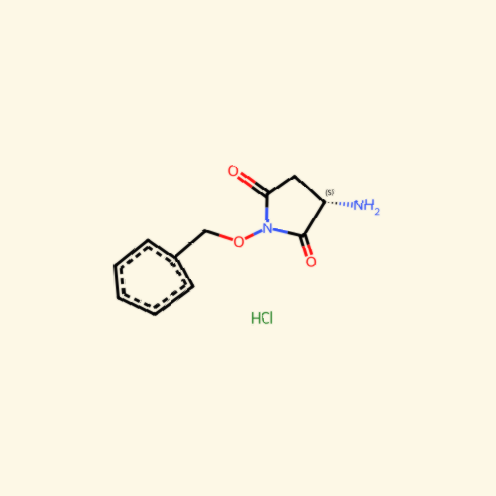 Cl.N[C@H]1CC(=O)N(OCc2ccccc2)C1=O